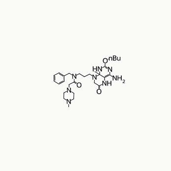 CCCCOC1=NC(N)=C2NC(=O)CN(CCCN(Cc3ccccc3)C(=O)CN3CCN(C)CC3)C2(C)N1